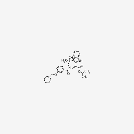 CC(C)OC(=O)C1=CN(C(=O)c2cccc(OCc3ccccc3)c2)CC(C)(C)c2c1[nH]c1ccccc21